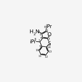 CC(C)c1oc2c(c1N)C(C(C)C)c1ccccc1S2